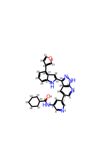 O=C(Nc1cncc(-c2cnc3[nH]nc(-c4cc5c(-c6ccoc6)cccc5[nH]4)c3c2)c1)C1CCCCC1